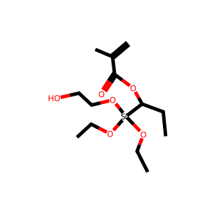 C=C(C)C(=O)OC(CC)[Si](OCC)(OCC)OCCO